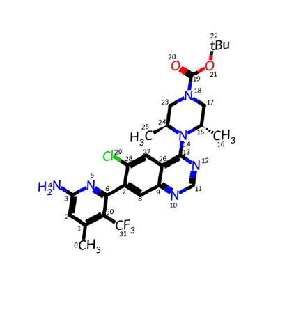 Cc1cc(N)nc(-c2cc3ncnc(N4[C@@H](C)CN(C(=O)OC(C)(C)C)C[C@@H]4C)c3cc2Cl)c1C(F)(F)F